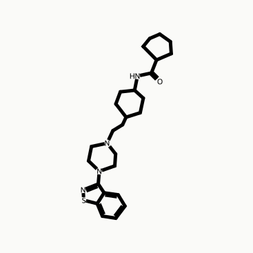 O=C(NC1CCC(CCN2CCN(c3nsc4ccccc34)CC2)CC1)C1CCCCC1